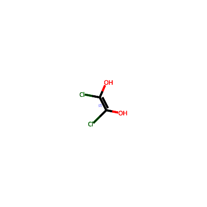 O/C(Cl)=C(\O)Cl